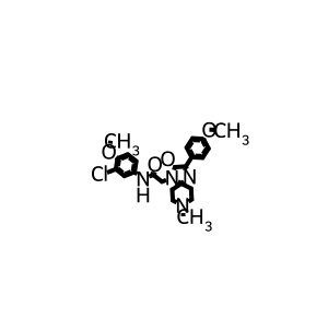 COc1ccc(C2=NC3(CCN(C)CC3)N(CC(=O)Nc3ccc(OC)c(Cl)c3)C2=O)cc1